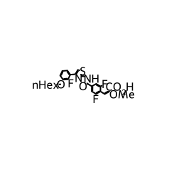 CCCCCCOc1cccc(-c2csc(NC(=O)c3cc(F)c(C=C(OC)C(=O)O)c(F)c3)n2)c1F